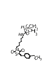 CCc1ccc(C=C2SC(=O)N(CCCCCCNC(=O)OC(C)(C)C)C2=O)cc1